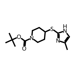 Cc1c[nH]c(SC2CCN(C(=O)OC(C)(C)C)CC2)n1